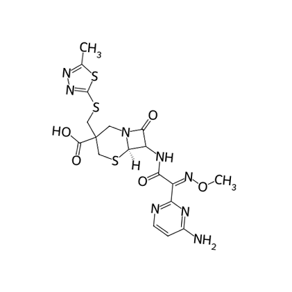 CON=C(C(=O)NC1C(=O)N2CC(CSc3nnc(C)s3)(C(=O)O)CS[C@H]12)c1nccc(N)n1